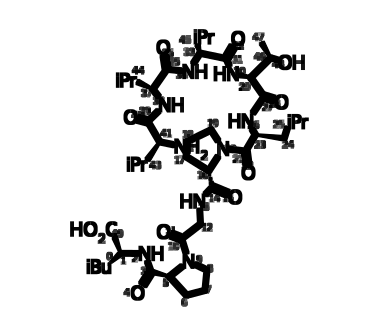 CC[C@H](C)[C@H](NC(=O)[C@@H]1CCCN1C(=O)CNC(=O)[C@@H]1CCCN1C(=O)[C@H](CC(C)C)NC(=O)[C@@H](NC(=O)[C@@H](NC(=O)[C@@H](NC(=O)[C@@H](N)C(C)C)C(C)C)C(C)C)[C@@H](C)O)C(=O)O